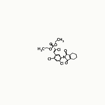 CCOP(=O)(OCC)C(Cl)=Cc1cc(N2C(=O)C3=C(CCCC3)C2=O)c(Cl)cc1Cl